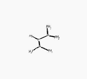 PP(P)P(S)P(P)P